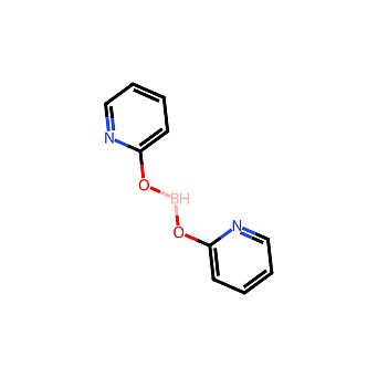 B(Oc1ccccn1)Oc1ccccn1